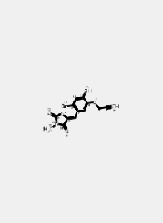 C#CCOc1cc(/C=C2\SC(=O)N(C)C2=O)c(Br)cc1O